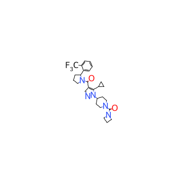 O=C(N1CCC1)N1CCC(n2ncc(C(=O)N3CCCC3c3ccccc3C(F)(F)F)c2C2CC2)CC1